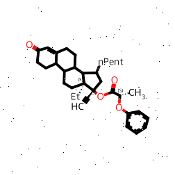 C#C[C@]1(OC(=O)[C@H](C)Oc2ccccc2)CC(CCCCC)C2C3CCC4=CC(=O)CCC4C3CC[C@@]21CC